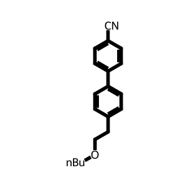 CCCCOCCc1ccc(-c2ccc(C#N)cc2)cc1